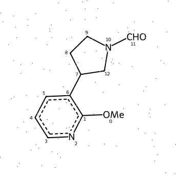 COc1ncccc1C1CCN(C=O)C1